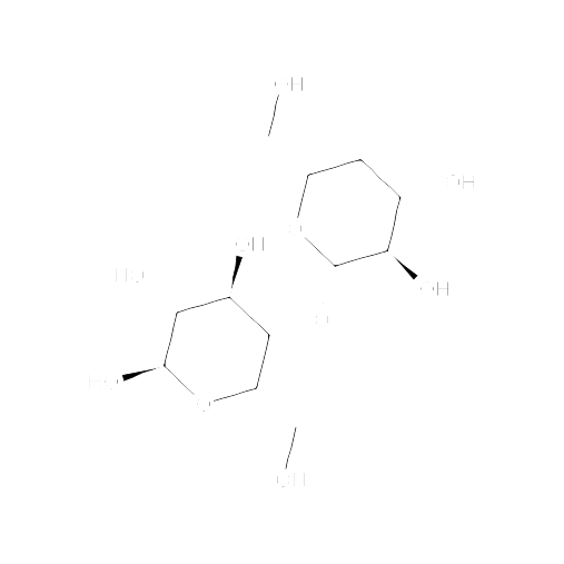 OC[C@@H]1C[C@H](O)[C@@H](O)[C@H](O[C@H]2[C@H](O)[C@@H](O)[C@H](O)O[C@H]2CO)O1